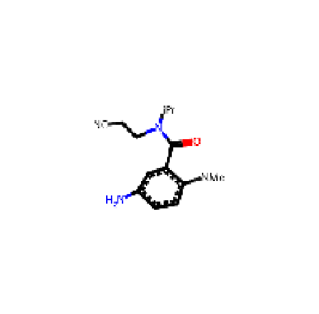 CNc1ccc(N)cc1C(=O)N(CCC#N)C(C)C